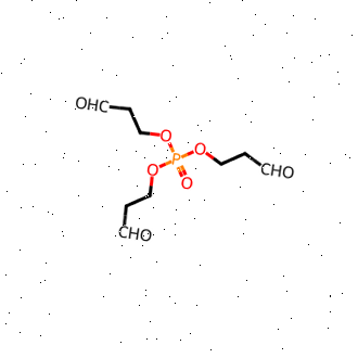 O=CCCOP(=O)(OCCC=O)OCCC=O